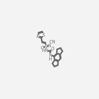 N#CN=S(=O)(/C=C/c1nccs1)NC(=O)Nc1c2c(cc3c1CCC3)CCC2